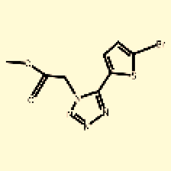 COC(=O)Cn1nnnc1-c1ccc(Br)s1